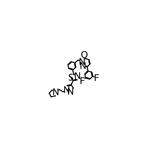 O=c1ccc(-c2cc(F)cc(F)c2)nn1Cc1cccc(-c2ncc(-c3cnn(CCN4CCCC4)c3)s2)c1